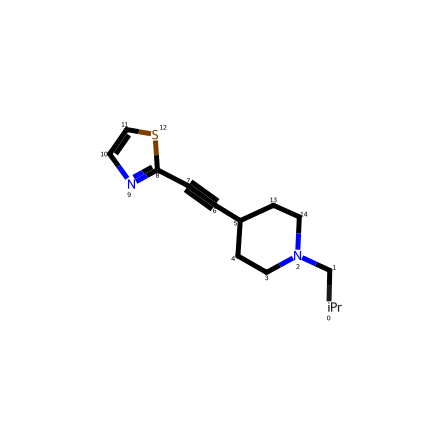 CC(C)CN1CCC(C#Cc2nccs2)CC1